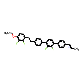 C/C=C/c1ccc(-c2ccc(-c3ccc(CCc4ccc(OCC)c(F)c4F)cc3)c(F)c2F)cc1